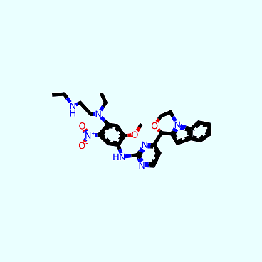 CCNCCN(CC)c1cc(OC)c(Nc2nccc(C3OCCn4c3cc3ccccc34)n2)cc1[N+](=O)[O-]